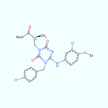 CCOc1ccc(Nc2nc(=O)n(C[C@H](C)C(=O)OC)c(=O)n2Cc2ccc(Cl)cc2)cc1Cl